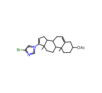 CC(=O)OC1CCC2(C)C(=CCC3C2CCC2(C)C(n4cnc(Br)c4)=CCC32)C1